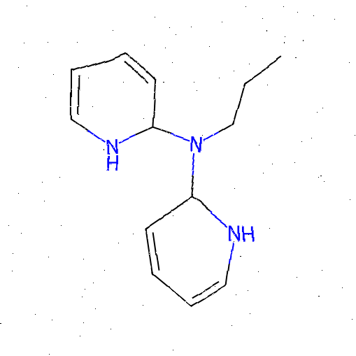 CCCN(C1C=CC=CN1)C1C=CC=CN1